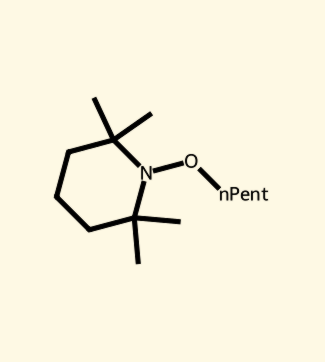 CCCCCON1C(C)(C)CCCC1(C)C